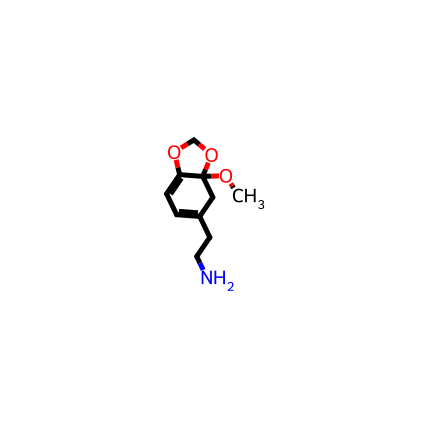 COC12CC(CCN)=CC=C1OCO2